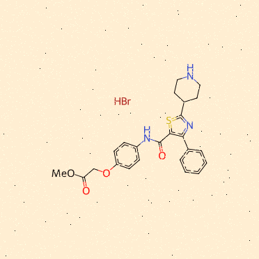 Br.COC(=O)COc1ccc(NC(=O)c2sc(C3CCNCC3)nc2-c2ccccc2)cc1